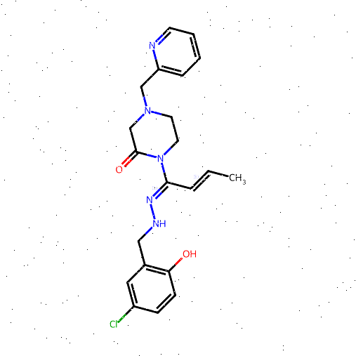 C/C=C/C(=N\NCc1cc(Cl)ccc1O)N1CCN(Cc2ccccn2)CC1=O